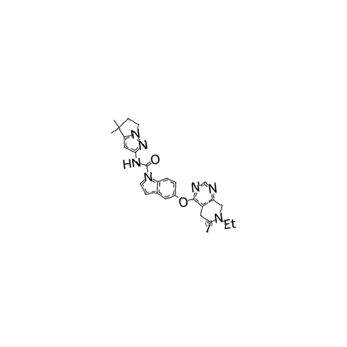 CCN1Cc2ncnc(Oc3ccc4c(ccn4C(=O)Nc4cc5n(n4)CCC5(C)C)c3)c2C[C@@H]1C